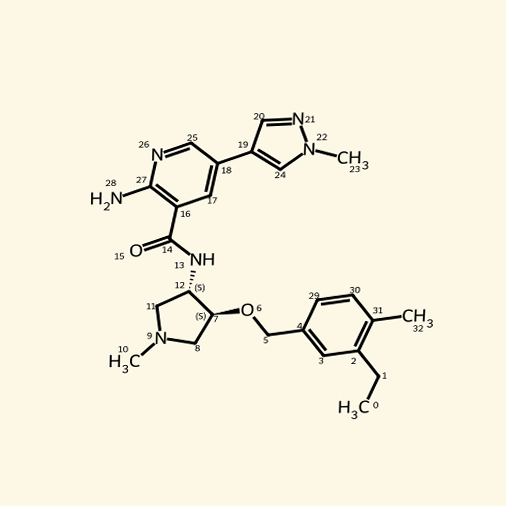 CCc1cc(CO[C@H]2CN(C)C[C@@H]2NC(=O)c2cc(-c3cnn(C)c3)cnc2N)ccc1C